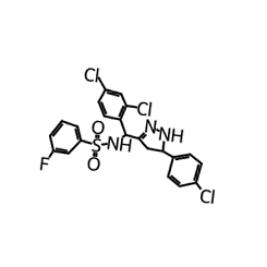 O=S(=O)(NC(C1=NNC(c2ccc(Cl)cc2)C1)c1ccc(Cl)cc1Cl)c1cccc(F)c1